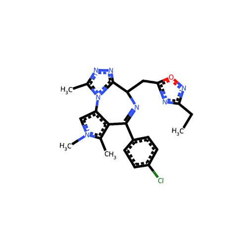 CCc1noc(CC2N=C(c3ccc(Cl)cc3)c3c(cn(C)c3C)-n3c(C)nnc32)n1